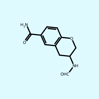 NC(=O)c1ccc2c(c1)CC(NC=O)CO2